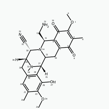 COC1=C(C)C(=O)C2=C(C1=O)[C@H](CN)N1C(C2)[C@@H]2c3c(cc(C)c(OC)c3O)C[C@H]([C@@H]1C#N)N2C